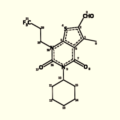 Cc1c(C=O)sc2c1c(=O)n(C1CCCCC1)c(=O)n2CCC(F)(F)F